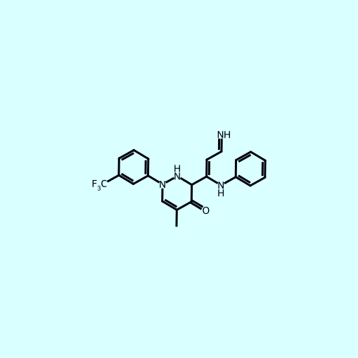 CC1=CN(c2cccc(C(F)(F)F)c2)NC(/C(=C/C=N)Nc2ccccc2)C1=O